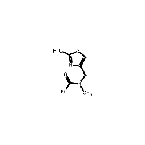 CCC(=O)N(C)Cc1csc(C)n1